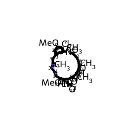 COc1cc2cc(c1Cl)N(C)C(=O)CC[C@]1(C)O[C@H]1[C@H](C)[C@@H]1C[C@@](C)(NC(=O)O1)[C@H](OC)/C=C/C=C(\C)C2